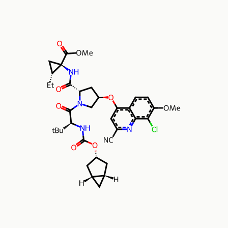 CC[C@@H]1C[C@]1(NC(=O)[C@@H]1C[C@@H](Oc2cc(C#N)nc3c(Cl)c(OC)ccc23)CN1C(=O)[C@@H](NC(=O)O[C@@H]1C[C@@H]2C[C@@H]2C1)C(C)(C)C)C(=O)OC